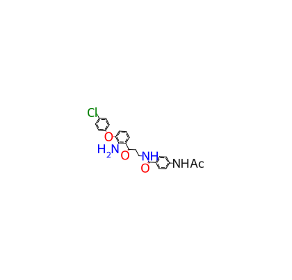 CC(=O)Nc1ccc(C(=O)NCCC(=O)c2cccc(Oc3ccc(Cl)cc3)c2N)cc1